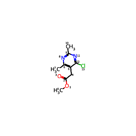 COC(=O)Cc1c(C)nc(C)nc1Cl